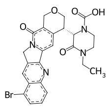 CCN1CCN(C(=O)O)C([C@H]2COCc3c2cc2n(c3=O)Cc3cc4c(Br)cccc4nc3-2)C1=O